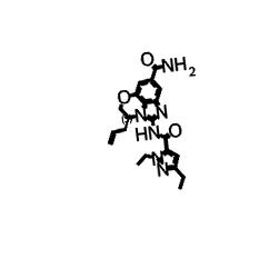 C=CC[C@H]1COc2cc(C(N)=O)cc3nc(NC(=O)c4cc(CC)nn4CC)n1c23